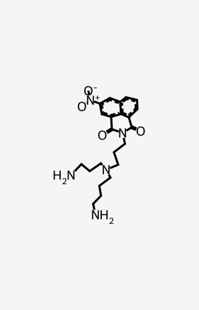 NCCCCN(CCCN)CCCN1C(=O)c2cccc3cc([N+](=O)[O-])cc(c23)C1=O